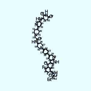 CCN(C)S(=O)(=O)Nc1ccc(F)c(C(=O)c2c[nH]c3ncc(-c4ccc(N5CCC(NC(=O)CN6CCC(c7ccc(NC8CCC(=O)NC8=O)cn7)CC6)CC5)cc4)cc23)c1F